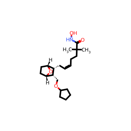 CC(C)(CC/C=C\C[C@@H]1[C@H](COC2CCCC2)[C@@H]2CC[C@H]1O2)C(=O)NO